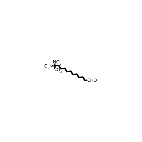 O=[C]CCCCCCCCCCC([N+](=O)[O-])([N+](=O)[O-])[N+](=O)[O-]